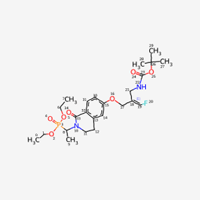 CCOP(=O)(OCC)C(C)N1CCc2cc(OC/C(=C/F)CNC(=O)OC(C)(C)C)ccc2C1=O